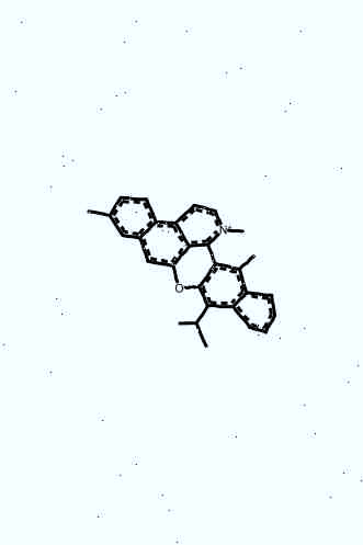 Cc1ccc2c(c1)cc1c3c([n+](C)ccc32)-c2c(c(C(C)C)c3ccccc3c2C)O1